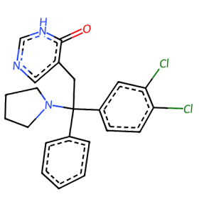 O=c1[nH]cncc1CC(c1ccccc1)(c1ccc(Cl)c(Cl)c1)N1CCCC1